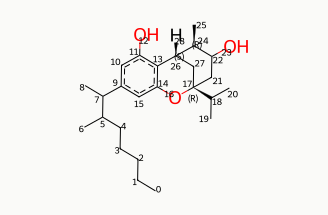 CCCCCC(C)C(C)c1cc(O)c2c(c1)O[C@@]1(C(C)C)CC(O)[C@H](C)[C@@H]2C1